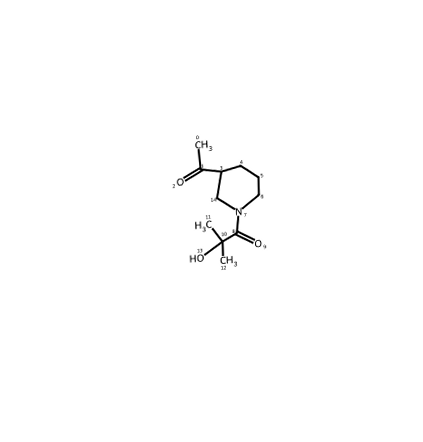 CC(=O)C1CCCN(C(=O)C(C)(C)O)C1